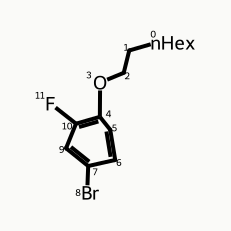 CCCCCCCCOc1ccc(Br)cc1F